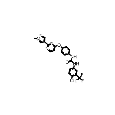 Cn1cc(-c2nccc(Oc3ccc(NC(=O)Nc4ccc(Cl)c(C(F)(F)F)c4)cc3)n2)cn1